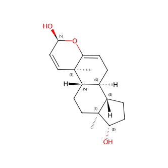 C[C@]12CC[C@H]3[C@@H](CC=C4O[C@H](O)C=C[C@@]43C)[C@@H]1CC[C@@H]2O